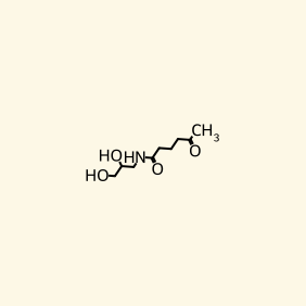 CC(=O)CCCC(=O)NCC(O)CO